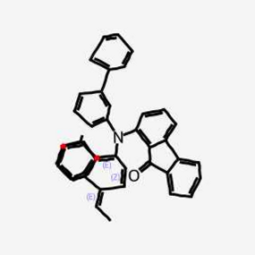 C\C=C(/C=C\C(=C1/C=CC=CC1C)N(c1cccc(-c2ccccc2)c1)c1cccc2c1C(=O)c1ccccc1-2)c1ccccc1